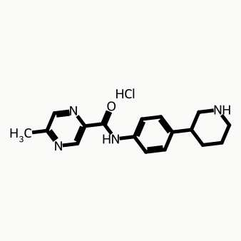 Cc1cnc(C(=O)Nc2ccc(C3CCCNC3)cc2)cn1.Cl